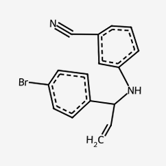 C=CC(Nc1cccc(C#N)c1)c1ccc(Br)cc1